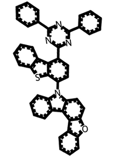 c1ccc(-c2nc(-c3ccccc3)nc(-c3ccc(-n4c5ccccc5c5c6c(ccc54)oc4ccccc46)c4sc5ccccc5c34)n2)cc1